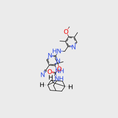 COc1c(C)cnc(CNc2ncc(C#N)c(NC[C@@]34CC5C[C@H](C3)[C@@H](NC(=O)OC(C)(C)C)[C@@H](C5)C4)n2)c1C